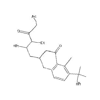 CCCC(CC1CC(=O)c2c(ccc(C(C)(C)CCC)c2C)C1)C(CC)C(=O)CC(C)=O